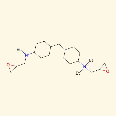 CCN(CC1CO1)C1CCC(CC2CCC([N+](CC)(CC)CC3CO3)CC2)CC1